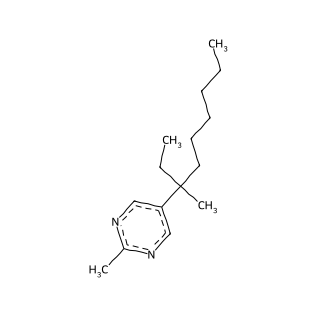 CCCCCCC(C)(CC)c1cnc(C)nc1